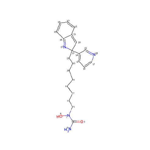 NC(=O)N(O)CCCCCCCCC1(c2cccnc2)C=c2ccccc2=N1